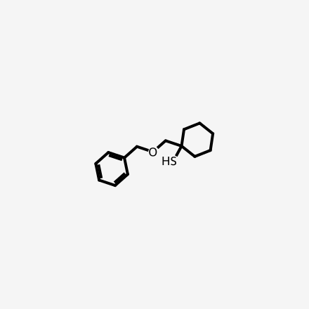 SC1(COCc2ccccc2)CCCCC1